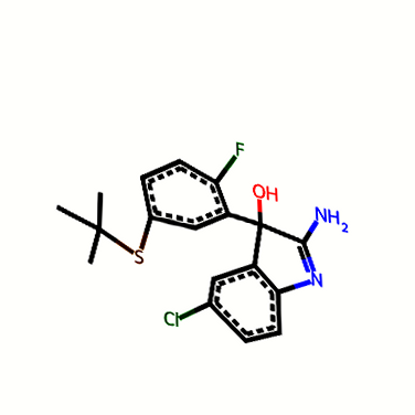 CC(C)(C)Sc1ccc(F)c(C2(O)C(N)=Nc3ccc(Cl)cc32)c1